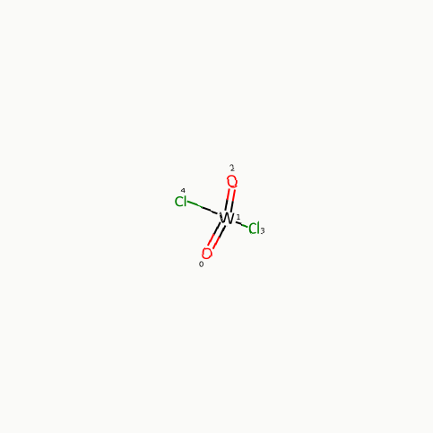 [O]=[W](=[O])([Cl])[Cl]